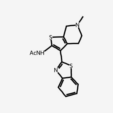 CC(=O)Nc1sc2c(c1-c1nc3ccccc3s1)CCN(C)C2